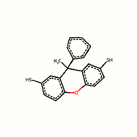 CC1(c2ccccc2)c2cc(S)ccc2Oc2ccc(S)cc21